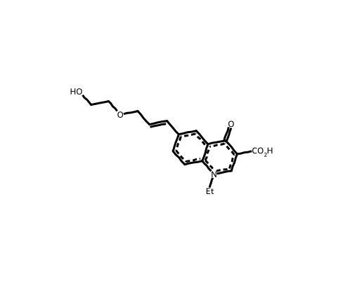 CCn1cc(C(=O)O)c(=O)c2cc(/C=C/COCCO)ccc21